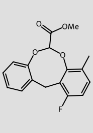 COC(=O)C1Oc2ccccc2Cc2c(F)ccc(C)c2O1